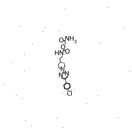 NC(=O)COC(=O)NCCC1CCN(c2ncc(-c3ccc(Cl)cc3)cn2)CC1